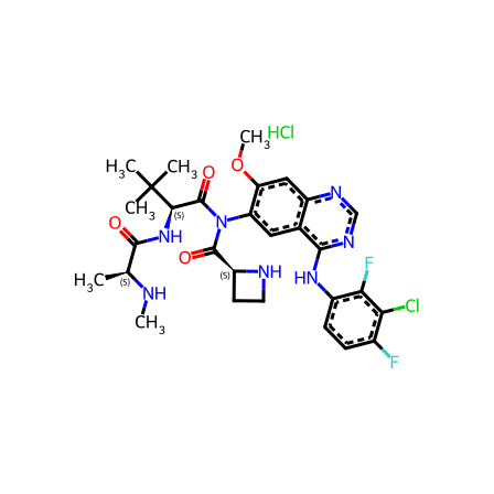 CN[C@@H](C)C(=O)N[C@H](C(=O)N(C(=O)[C@@H]1CCN1)c1cc2c(Nc3ccc(F)c(Cl)c3F)ncnc2cc1OC)C(C)(C)C.Cl